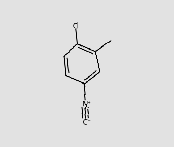 [C-]#[N+]c1ccc(Cl)c(C)c1